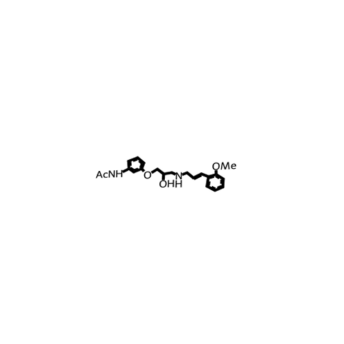 COc1ccccc1C=CCNCC(O)COc1cccc(NC(C)=O)c1